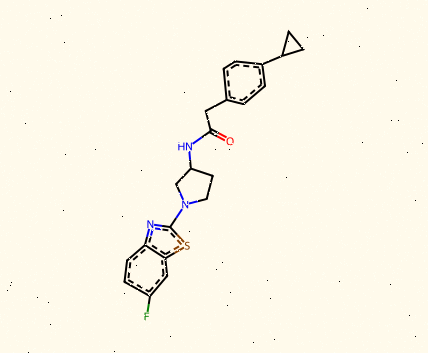 O=C(Cc1ccc(C2CC2)cc1)NC1CCN(c2nc3ccc(F)cc3s2)C1